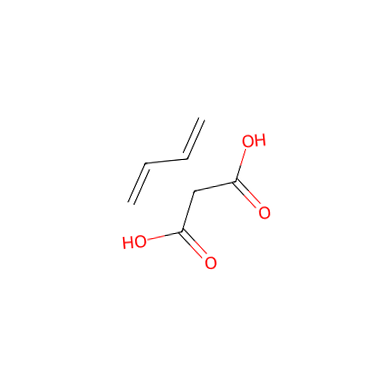 C=CC=C.O=C(O)CC(=O)O